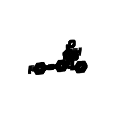 O=CC1CN(c2cc(C#Cc3ccc(F)cc3)ccc2OCc2ccccc2)S(=O)(=O)N1